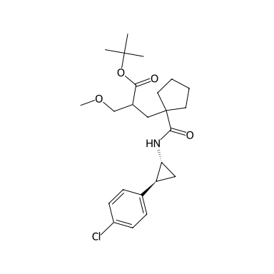 COCC(CC1(C(=O)N[C@@H]2C[C@H]2c2ccc(Cl)cc2)CCCC1)C(=O)OC(C)(C)C